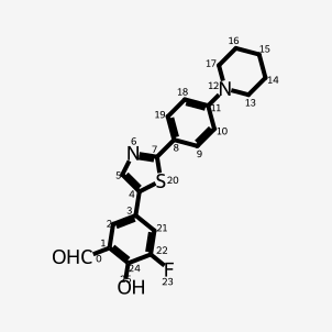 O=Cc1cc(-c2cnc(-c3ccc(N4CCCCC4)cc3)s2)cc(F)c1O